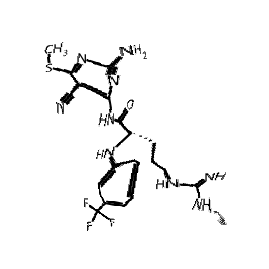 CSc1nc(N)nc(NC(=O)[C@H](CCCNC(=N)N)Nc2cccc(C(F)(F)F)c2)c1C#N